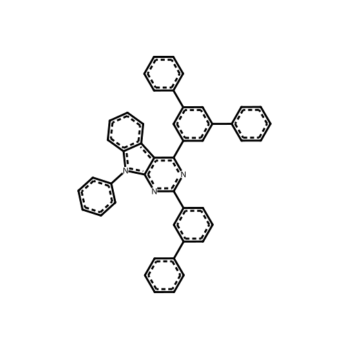 c1ccc(-c2cccc(-c3nc(-c4cc(-c5ccccc5)cc(-c5ccccc5)c4)c4c5ccccc5n(-c5ccccc5)c4n3)c2)cc1